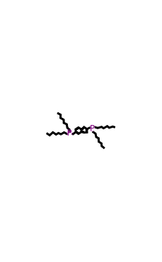 CCCCCCCCP(CCCCCCCC)Cc1ccc2cc(CP(CCCCCCCC)CCCCCCCC)ccc2c1